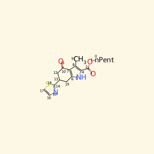 CCCCCOC(=O)c1[nH]c2c(c1C)C(=O)CC(c1nccs1)C2